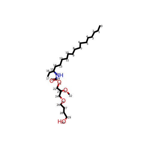 CCCCCCCCCCCCCCCC(CC)NC(=O)OCC(COCCCCO)OC